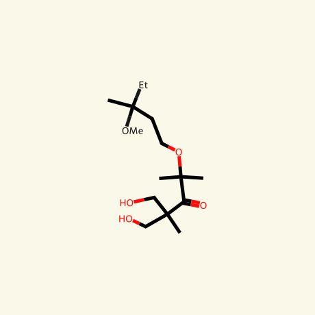 CCC(C)(CCOC(C)(C)C(=O)C(C)(CO)CO)OC